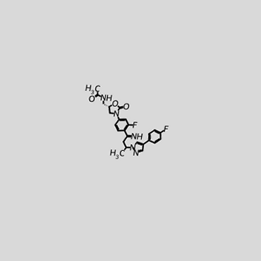 CC(=O)NC[C@H]1CN(c2ccc(C(=N)CC(C)n3cc(-c4ccc(F)cc4)cn3)c(F)c2)C(=O)O1